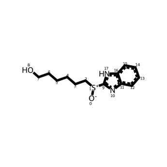 [O-][S+](CCCCCCO)c1nc2ccccc2[nH]1